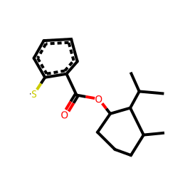 CC(C)C1C(C)CCCC1OC(=O)c1ccccc1[S]